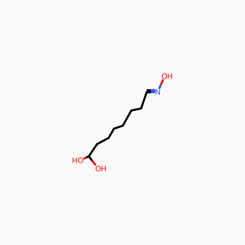 O/N=C/CCCCCCC(O)O